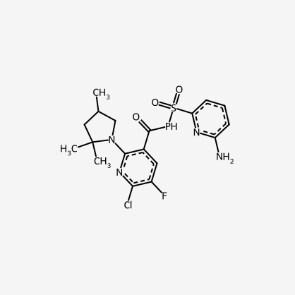 CC1CN(c2nc(Cl)c(F)cc2C(=O)PS(=O)(=O)c2cccc(N)n2)C(C)(C)C1